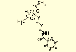 CCO[Si](C)(CCCCNC(=O)c1ccccc1)OCC